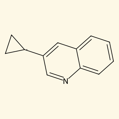 c1ccc2ncc([C]3CC3)cc2c1